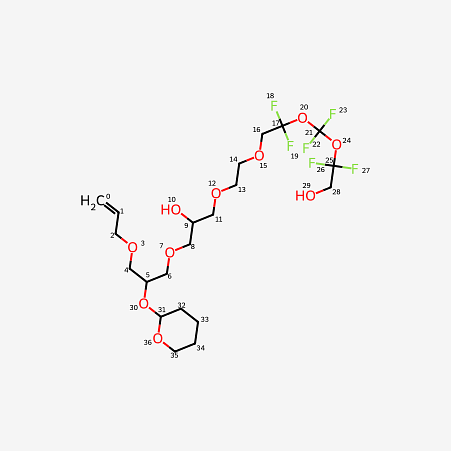 C=CCOCC(COCC(O)COCCOCC(F)(F)OC(F)(F)OC(F)(F)CO)OC1CCCCO1